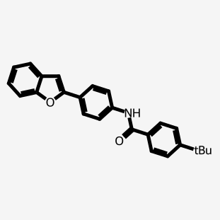 CC(C)(C)c1ccc(C(=O)Nc2ccc(-c3cc4ccccc4o3)cc2)cc1